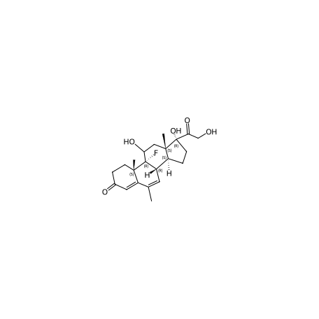 CC1=C[C@H]2[C@@H]3CC[C@](O)(C(=O)CO)[C@@]3(C)CC(O)[C@]2(F)[C@@]2(C)CCC(=O)C=C12